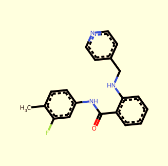 Cc1ccc(NC(=O)c2ccccc2NCc2ccncc2)cc1F